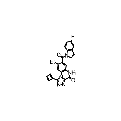 CCc1cc2c(cc1C(=O)N1CCc3cc(F)ccc31)[nH]c(=O)c1nnc(C3=CC=C3)n12